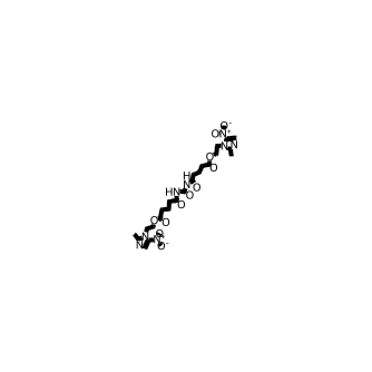 Cc1ncc([N+](=O)[O-])n1CCOC(=O)CCCC(=O)NC(=O)NC(=O)CCCC(=O)OCCn1c([N+](=O)[O-])cnc1C